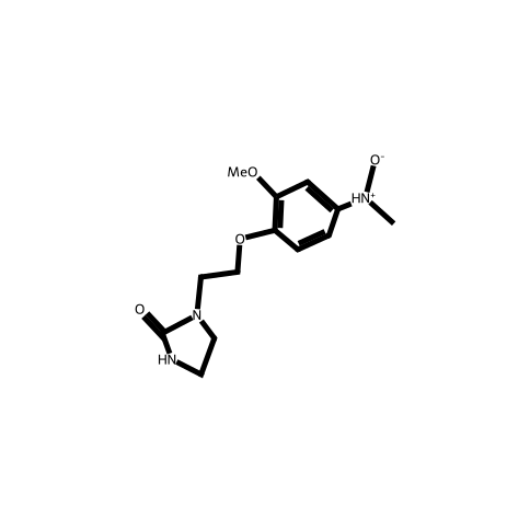 COc1cc([NH+](C)[O-])ccc1OCCN1CCNC1=O